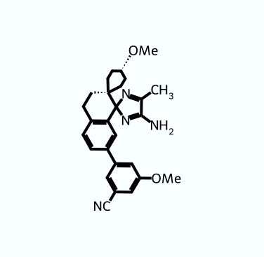 COc1cc(C#N)cc(-c2ccc3c(c2)C2(N=C(C)C(N)=N2)[C@]2(CC3)CC[C@@H](OC)CC2)c1